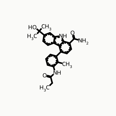 CCC(=O)Nc1cccc(-c2ccc(C(N)=O)c3[nH]c4cc(C(C)(C)O)ccc4c23)c1C